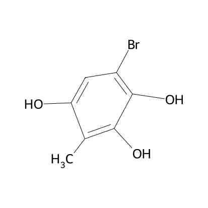 Cc1c(O)cc(Br)c(O)c1O